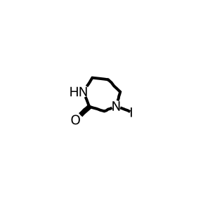 O=C1CN(I)CCCN1